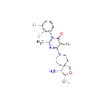 CCc1c(N2CCC3(CC2)CO[C@H](C)[C@@H]3N)nc(C)n(-c2cccc(Cl)c2Cl)c1=O